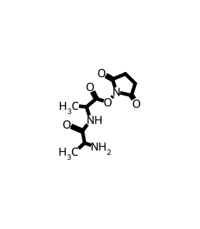 CC(N)C(=O)NC(C)C(=O)ON1C(=O)CCC1=O